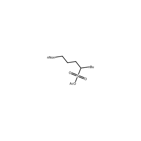 CCCCCCCCCCCCC(CCCC)S(=O)(=O)OC(C)=O